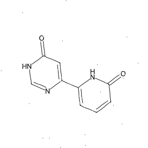 O=c1cc(-c2cccc(=O)[nH]2)nc[nH]1